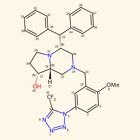 COc1ccc(-n2nnnc2C(F)(F)F)cc1CN1C[C@@H]2[C@H](O)CCN2[C@H](C(c2ccccc2)c2ccccc2)C1